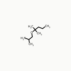 CCCC(C)(C)OCC(C)N